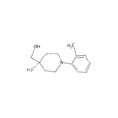 Cc1ccccc1N1CCC(C)(CO)CC1